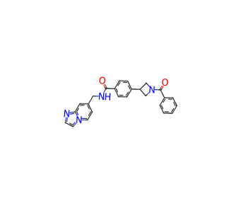 O=C(NCc1ccn2ccnc2c1)c1ccc(C2CN(C(=O)c3ccccc3)C2)cc1